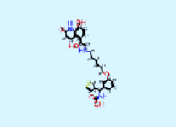 O=C(O)NC(c1ccsc1)c1cccc(OCCCCCCNC[C@@H](O)c2ccc(O)c3[nH]c(=O)ccc23)c1